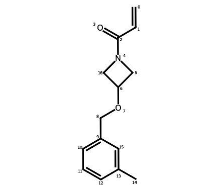 C=CC(=O)N1CC(OCc2cccc(C)c2)C1